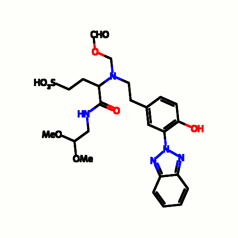 COC(CNC(=O)C(CCS(=O)(=O)O)N(CCc1ccc(O)c(-n2nc3ccccc3n2)c1)COC=O)OC